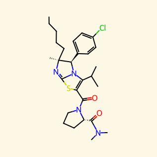 CCCCC[C@]1(C)N=C2SC(C(=O)N3CCC[C@H]3C(=O)N(C)C)=C(C(C)C)N2[C@@H]1c1ccc(Cl)cc1